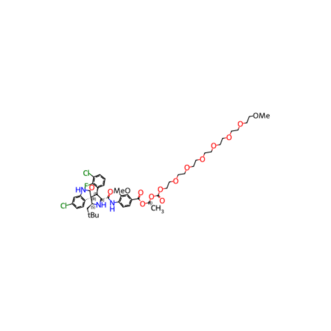 COCCOCCOCCOCCOCCOCCOCCOC(=O)O[C@H](C)OC(=O)c1ccc(NC(=O)[C@@H]2N[C@@H](CC(C)(C)C)[C@@]3(C(=O)Nc4cc(Cl)ccc43)[C@H]2c2cccc(Cl)c2F)c(OC)c1